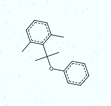 Cc1cccc(C)c1C(C)(C)Oc1ccccc1